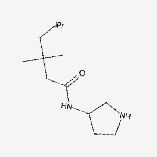 CC(C)CC(C)(C)CC(=O)NC1CCNC1